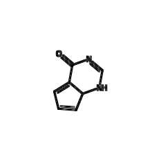 O=C1N=CNC2C=CC=C12